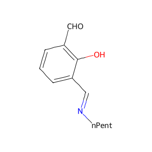 CCCCCN=Cc1cccc(C=O)c1O